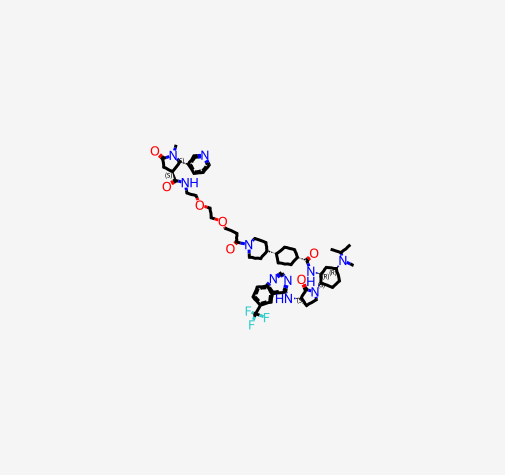 CC(C)N(C)[C@@H]1CC[C@H](N2CC[C@H](Nc3ncnc4ccc(C(F)(F)F)cc34)C2=O)[C@H](NC(=O)[C@H]2CC[C@@H](C3CCN(C(=O)CCOCCOCCNC(=O)[C@H]4CC(=O)N(C)[C@@H]4c4cccnc4)CC3)CC2)C1